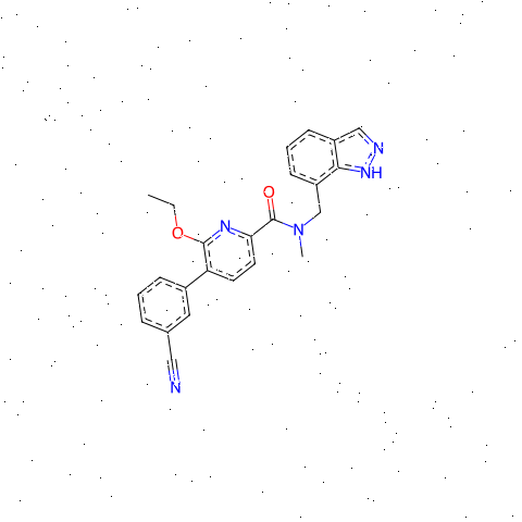 CCOc1nc(C(=O)N(C)Cc2cccc3cn[nH]c23)ccc1-c1cccc(C#N)c1